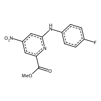 COC(=O)c1cc([N+](=O)[O-])cc(Nc2ccc(F)cc2)n1